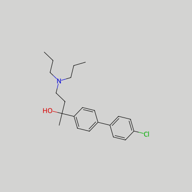 CCCN(CCC)CCC(C)(O)c1ccc(-c2ccc(Cl)cc2)cc1